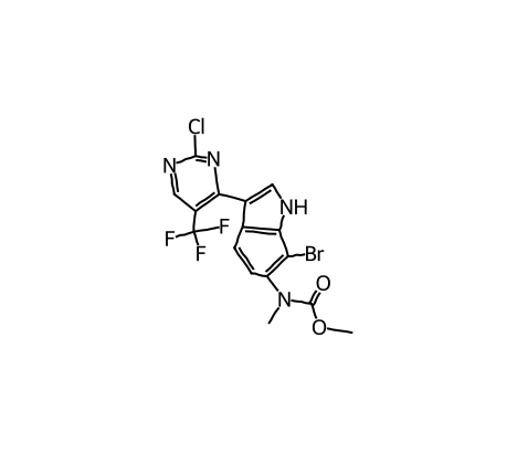 COC(=O)N(C)c1ccc2c(-c3nc(Cl)ncc3C(F)(F)F)c[nH]c2c1Br